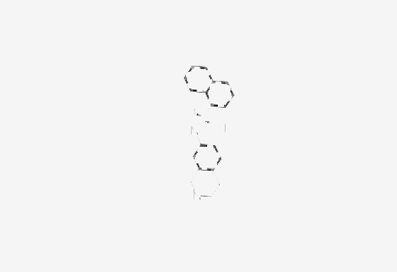 Cl.O=S(=O)(Nc1ccc2c(c1)CNCC2)c1cccc2ccccc12